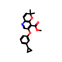 COC(=O)c1c(Oc2cccc(C3CC3)c2)cnc2c1OC(C)(C)C=C2